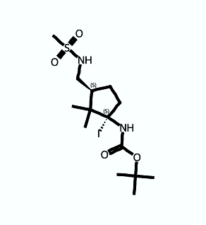 CC(C)(C)OC(=O)N[C@]1(I)CC[C@H](CNS(C)(=O)=O)C1(C)C